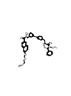 CCOC(Cc1ccc(-c2cccc(CN(C)C(=O)c3ccc4cc(OCOCCOC)ccc4c3)c2)cc1)C(=O)N(C)Cc1ccccc1